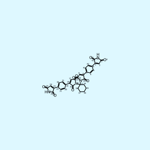 O=C1C=C(c2ccc(C3=CC(=O)N(C4(N5C(=O)C=C(c6ccc(C7=CC(=O)NC7=O)cc6)C5=O)CCCCC4)C3=O)cc2)C(=O)N1